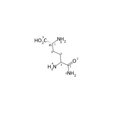 NC(=O)C(N)CC[C@@H](N)C(=O)O